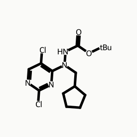 CC(C)(C)OC(=O)NN(CC1CCCC1)c1nc(Cl)ncc1Cl